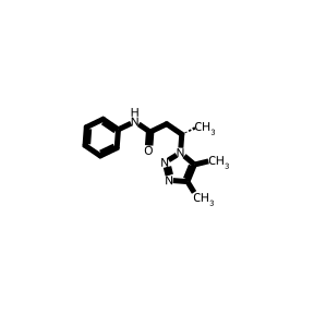 Cc1nnn([C@@H](C)CC(=O)Nc2ccccc2)c1C